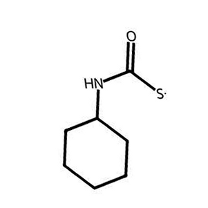 O=C([S])NC1CCCCC1